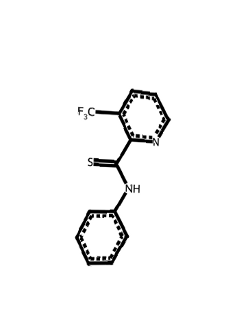 FC(F)(F)c1cccnc1C(=S)Nc1ccccc1